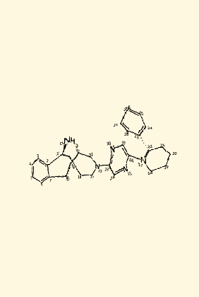 N[C@@H]1c2ccccc2CC12CCN(c1cnc(N3CCCC[C@H]3c3ccccc3)cn1)CC2